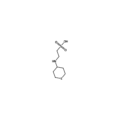 O=S(=O)(O)CCNC1CCSCC1